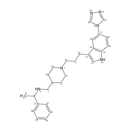 CC(NCC1CCN(CCCc2c[nH]c3ccc(-n4cnnc4)cc23)CC1)c1ccccc1